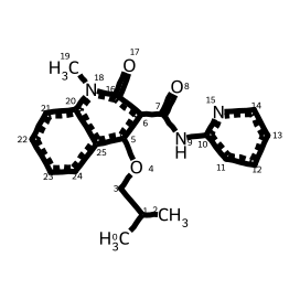 CC(C)COc1c(C(=O)Nc2ccccn2)c(=O)n(C)c2ccccc12